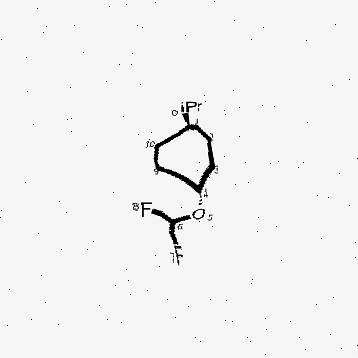 CC(C)[C@H]1CC[C@H](OC(F)F)CC1